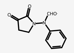 O=[C]N(c1ccccc1)N1CCC(=O)C1=O